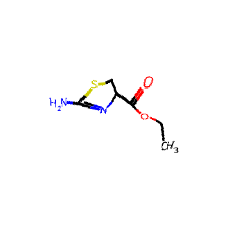 CCOC(=O)C1CSC(N)=N1